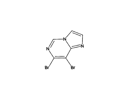 Brc1ncn2ccnc2c1Br